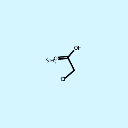 O=C(O)CCl.[SrH2]